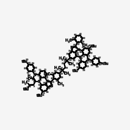 CC1=C(/C=C(\C)C(C)(C)C)B2c3c(cccc3-n3c(-c4c(C)cc(C(C)(C)CCC(C)(C)c5cc6c7c(c5)nc(-c5c(C)cccc5C)n7-c5cc(C(C)(C)C)cc7c5B6c5cc(C(C)(C)C)ccc5N7c5ccc(C(C)(C)C)cc5)cc4C)nc4cc(C(C)(C)C)cc2c43)N1c1ccc(C(C)(C)C)cc1